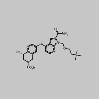 CC[C@H]1CN(C(=O)O)Cc2cc(Oc3ccnc4c3cc(C(N)=O)n4COCC[Si](C)(C)C)cnc21